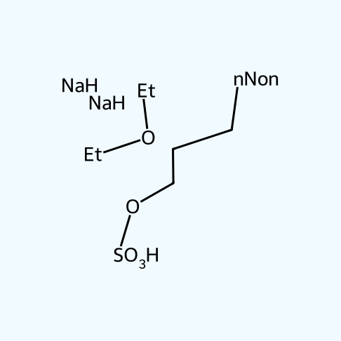 CCCCCCCCCCCCOS(=O)(=O)O.CCOCC.[NaH].[NaH]